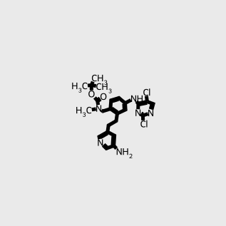 CN(Cc1ccc(Nc2nc(Cl)ncc2Cl)cc1CCc1cncc(N)c1)C(=O)OC(C)(C)C